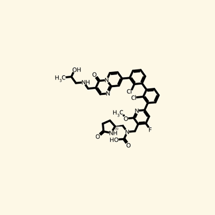 COc1nc(-c2cccc(-c3cccc(-c4ccn5c(=O)c(CNCC(C)O)cnc5c4)c3Cl)c2Cl)cc(F)c1CN(C[C@@H]1CCC(=O)N1)C(=O)O